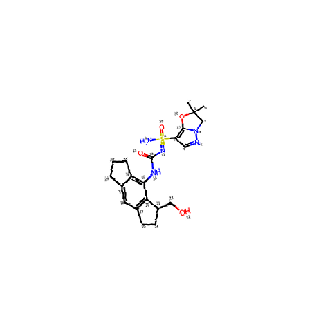 CC1(C)Cn2ncc([S@@](N)(=O)=NC(=O)Nc3c4c(cc5c3[C@@H](CO)CC5)CCC4)c2O1